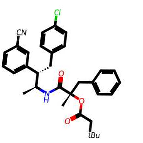 C[C@H](NC(=O)[C@](C)(Cc1ccccc1)OC(=O)CC(C)(C)C)[C@@H](Cc1ccc(Cl)cc1)c1cccc(C#N)c1